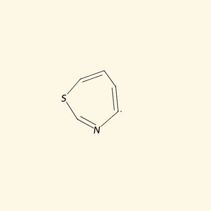 [C]1=CC=CSC=N1